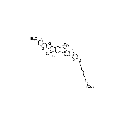 CCCCCCCCCCCCCCCCCCOc1cc2sc3c4c(sc3c2s1)-c1cc2c(cc1C4(CC)CC)-c1sc3c(sc4cc(C)sc43)c1C2(CC)CC